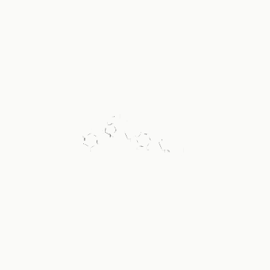 Cc1oc(-c2ccccc2)nc1C=Cc1ccc(C=CC(=O)O)cc1